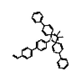 C=Cc1ccc(-c2ccc(N(C3(C(C)C)C=CC(c4ccccc4)C=C3)C3(C(C)C)C=CC(c4ccccc4)C=C3)cc2)cc1